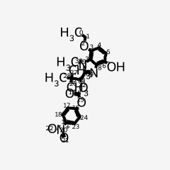 CCOc1ccc(O)c2nc([C@H](OC(=O)Oc3ccc([N+](=O)[O-])cc3)C(C)(C)C)n(C)c12